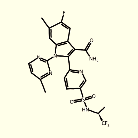 Cc1ccnc(-n2c(-c3ccc(S(=O)(=O)N[C@@H](C)C(F)(F)F)cn3)c(C(N)=O)c3cc(F)c(C)cc32)n1